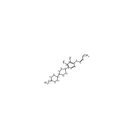 CC/C=C\Cc1ccc(C2CCC(C3CCC(C)CC3)CC2)c(F)c1F